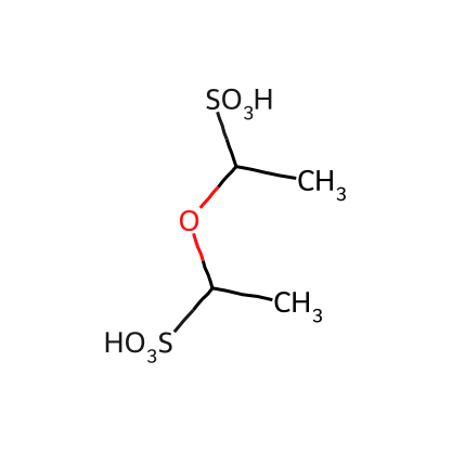 CC(OC(C)S(=O)(=O)O)S(=O)(=O)O